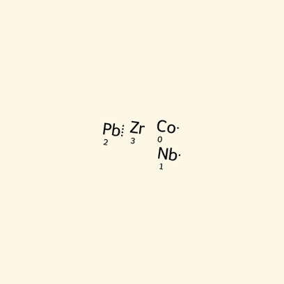 [Co].[Nb].[Pb].[Zr]